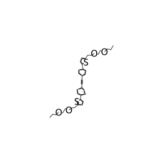 CCCOCCOCCc1ccc(-c2ccc(C#Cc3ccc(-c4ccc(CCOCCOCCC)s4)cc3)cc2)s1